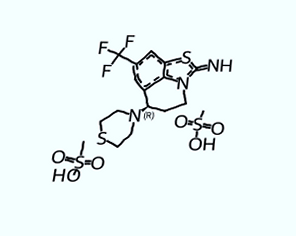 CS(=O)(=O)O.CS(=O)(=O)O.N=c1sc2cc(C(F)(F)F)cc3c2n1CC[C@H]3N1CCSCC1